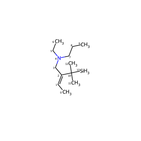 CC=C(CN(CC)CCC)C(C)(C)[SiH3]